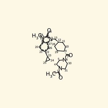 CC(=O)N1CCN(C(=O)[C@H]2CC[C@H](Cn3c(=O)n(C)c4ccc(C5CC5)cc43)CC2)CC1